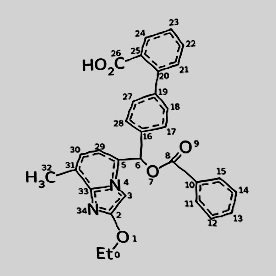 CCOc1cn2c(C(OC(=O)c3ccccc3)c3ccc(-c4ccccc4C(=O)O)cc3)ccc(C)c2n1